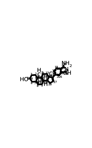 C[C@]12CC[C@@H](O)CC1=CC[C@@H]1[C@@H]2CC[C@]2(C)C(c3ccc4c(N)n[nH]c4c3)=CC[C@@H]12